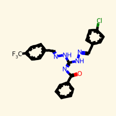 O=C(/N=C(\N/N=C/c1ccc(Cl)cc1)N/N=C/c1ccc(C(F)(F)F)cc1)c1ccccc1